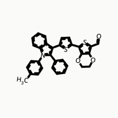 Cc1ccc(-n2c(-c3ccccc3)c(-c3ccc(-c4sc(C=O)c5c4OCCO5)s3)c3ccccc32)cc1